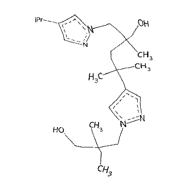 CC(C)c1cnn(CC(C)(O)CC(C)(C)c2cnn(CC(C)(C)CO)c2)c1